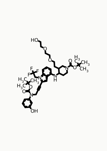 CC(C)(C)OC(=O)N1CCC(Nc2cccc3c2cc(C#CCN(C(=O)OC(C)(C)C)c2cccc(O)c2)n3CC(F)(F)F)C(CCOCCOCCO)C1